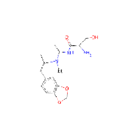 CCN(C(C)Cc1ccc2c(c1)OCO2)C(C)NC(=O)C(N)CO